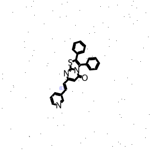 O=c1cc(/C=C/c2cccnc2)nc2sc(-c3ccccc3)c(-c3ccccc3)n12